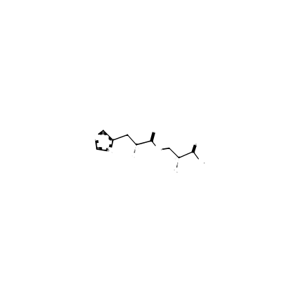 N[C@@H](COC(=O)[C@@H](N)Cc1cscn1)C(=O)O